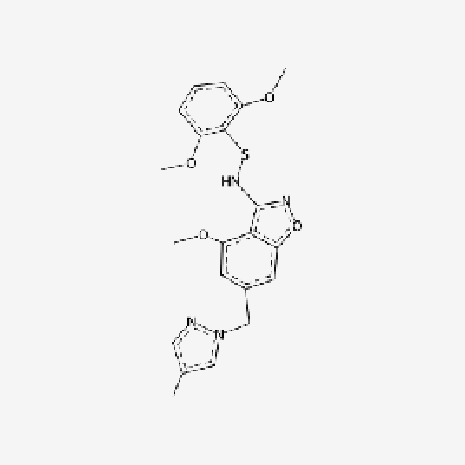 COc1cccc(OC)c1SNc1noc2cc(Cn3cc(C)cn3)cc(OC)c12